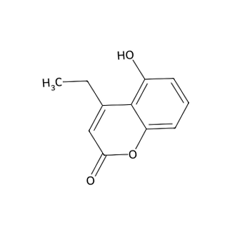 CCc1cc(=O)oc2cccc(O)c12